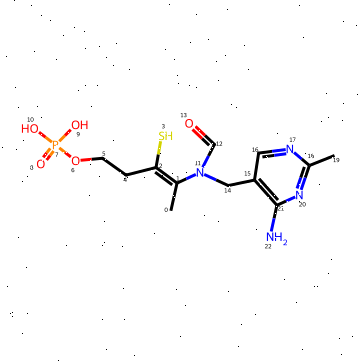 C/C(=C(/S)CCOP(=O)(O)O)N(C=O)Cc1cnc(C)nc1N